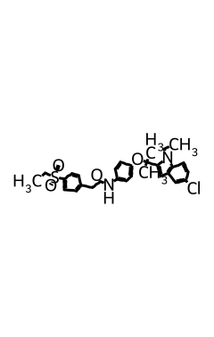 CCn1c(C(C)(C)Oc2ccc(NC(=O)Cc3ccc(S(=O)(=O)CC)cc3)cc2)cc2cc(Cl)ccc21